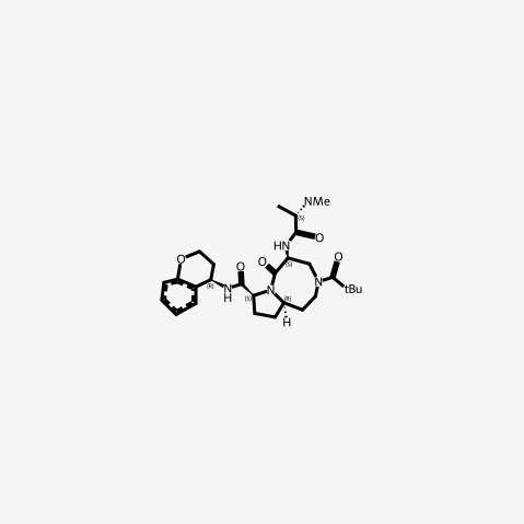 CN[C@@H](C)C(=O)N[C@H]1CN(C(=O)C(C)(C)C)CC[C@H]2CC[C@@H](C(=O)N[C@@H]3CCOc4ccccc43)N2C1=O